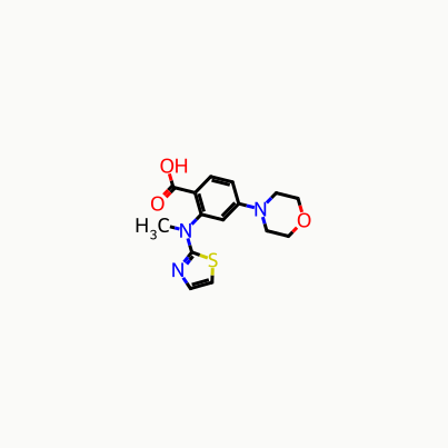 CN(c1nccs1)c1cc(N2CCOCC2)ccc1C(=O)O